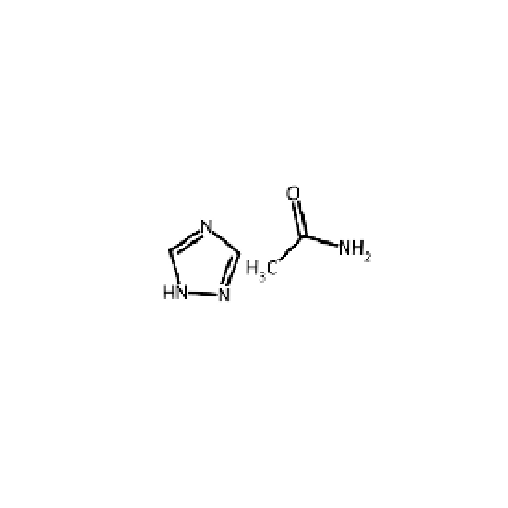 CC(N)=O.c1nc[nH]n1